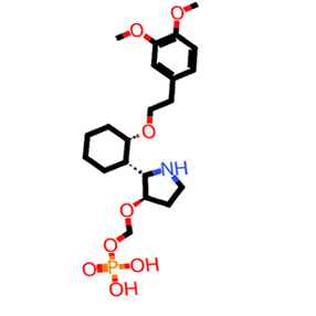 COc1ccc(CCO[C@H]2CCCC[C@H]2C2NCC[C@H]2OCOP(=O)(O)O)cc1OC